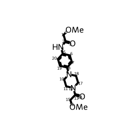 COCC(=O)Nc1ccc(N2CCN(C(=O)COC)CC2)cc1